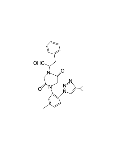 Cc1ccc(-n2cc(Cl)nn2)c(N2CC(=O)N(C(C=O)Cc3ccccc3)CC2=O)c1